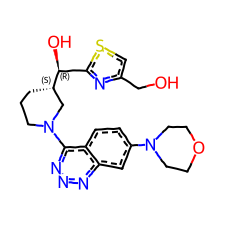 OCc1csc([C@H](O)[C@H]2CCCN(c3nnnc4cc(N5CCOCC5)ccc34)C2)n1